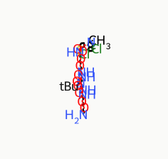 CN1Cc2c(Cl)cc(Cl)cc2[C@H](c2cccc(S(=O)(=O)NCCOCCOCCNC(=O)NCCN(CCNC(=O)NCCOCCOCCN)C(=O)OC(C)(C)C)c2)C1